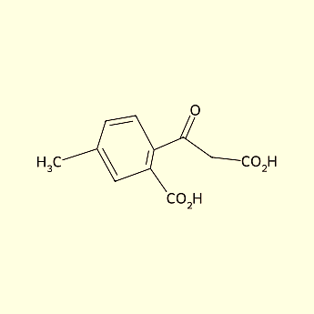 Cc1ccc(C(=O)CC(=O)O)c(C(=O)O)c1